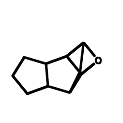 C1CC2C3CC4OC3C4C2C1